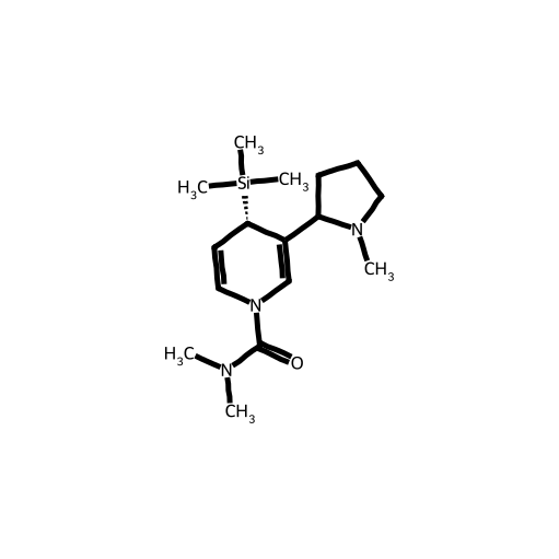 CN(C)C(=O)N1C=C[C@H]([Si](C)(C)C)C(C2CCCN2C)=C1